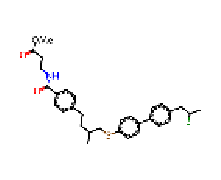 COC(=O)CCNC(=O)c1ccc(CCC(C)CSc2ccc(-c3ccc(CC(C)F)cc3)cc2)cc1